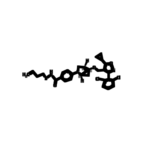 C=CCCSNC(=O)c1ccc(N2C[C@@H]3C[C@H]2C[C@H]3OCc2c(-c3c(Cl)cccc3Cl)noc2C2CC2)cc1